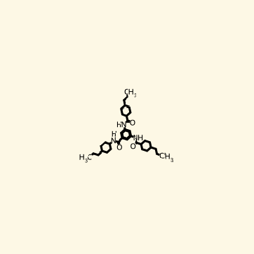 CCCC1CCC(NC(=O)c2cc(NC(=O)C3CCC(CCC)CC3)cc(NC(=O)C3CCC(CCC)CC3)c2)CC1